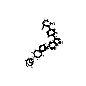 Cc1ccc[n+]([O-])c1-c1ccc(-c2c[nH]c3ncc(-c4ccc5c(c4)CC[C@@H](N4C6COCC4C6)CC5)cc23)cc1